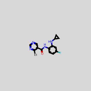 CCc1ncncc1C(=O)Nc1ccc(F)cc1NC1CC1